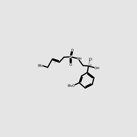 CC[C@@](O)(CNS(=O)(=O)C/C=C/CC(C)(C)C)c1cccc(OCC(C)C)c1